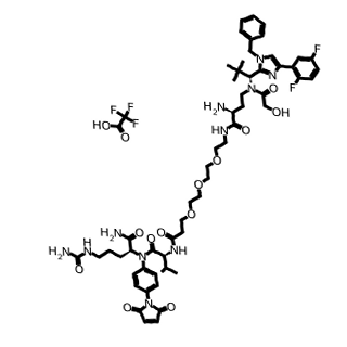 CC(C)[C@H](NC(=O)CCOCCOCCOCCNC(=O)[C@@H](N)CCN(C(=O)CO)[C@@H](c1nc(-c2cc(F)ccc2F)cn1Cc1ccccc1)C(C)(C)C)C(=O)N(c1ccc(N2C(=O)C=CC2=O)cc1)[C@@H](CCCNC(N)=O)C(N)=O.O=C(O)C(F)(F)F